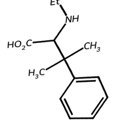 CCNC(C(=O)O)C(C)(C)c1ccccc1